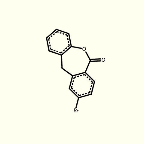 O=C1Oc2ccccc2Cc2cc(Br)ccc21